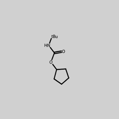 CC(C)(C)NC(=O)OC1CCCC1